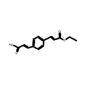 CCOC(=O)C=Cc1ccc(C=CC(=O)O)cc1